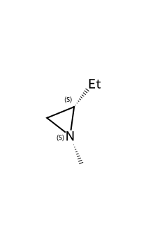 CC[C@H]1C[N@@]1C